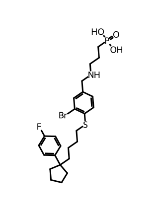 O=P(O)(O)CCCNCc1ccc(SCCCCC2(c3ccc(F)cc3)CCCC2)c(Br)c1